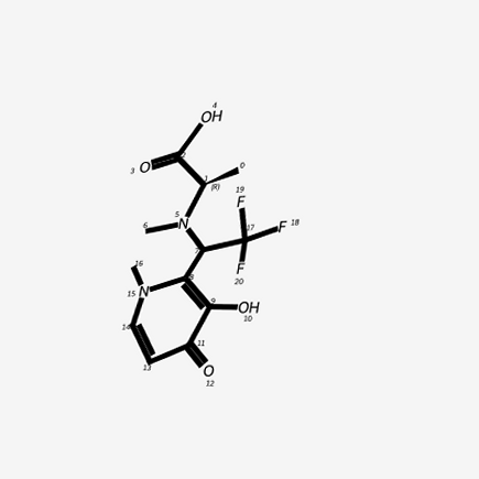 C[C@H](C(=O)O)N(C)C(c1c(O)c(=O)ccn1C)C(F)(F)F